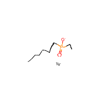 CCCCCCP(=O)([O-])CC.[Na+]